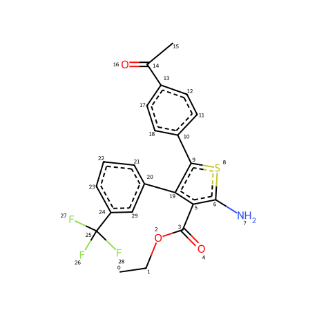 CCOC(=O)c1c(N)sc(-c2ccc(C(C)=O)cc2)c1-c1cccc(C(F)(F)F)c1